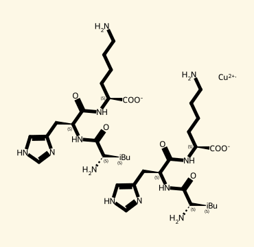 CC[C@H](C)[C@H](N)C(=O)N[C@@H](Cc1c[nH]cn1)C(=O)N[C@@H](CCCCN)C(=O)[O-].CC[C@H](C)[C@H](N)C(=O)N[C@@H](Cc1c[nH]cn1)C(=O)N[C@@H](CCCCN)C(=O)[O-].[Cu+2]